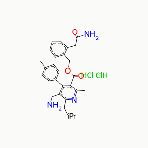 Cc1ccc(-c2c(CN)c(CC(C)C)nc(C)c2C(=O)OCc2ccccc2CC(N)=O)cc1.Cl.Cl